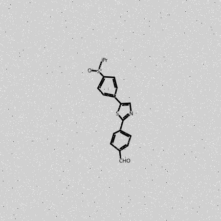 CC(C)[S+]([O-])c1ccc(-c2cnc(-c3ccc(C=O)cc3)s2)cc1